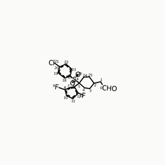 O=CCC1CCC(c2cc(F)ccc2F)(S(=O)(=O)c2ccc(Cl)cc2)CC1